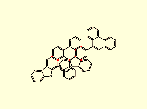 c1ccc(N(c2ccc(-c3cc4ccccc4c4ccccc34)cc2)c2ccccc2-c2cccc3c2oc2ccccc23)c(-c2ccccc2-n2c3ccccc3c3ccccc32)c1